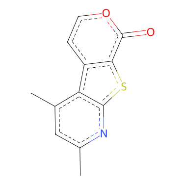 Cc1cc(C)c2c(n1)sc1c(=O)occc12